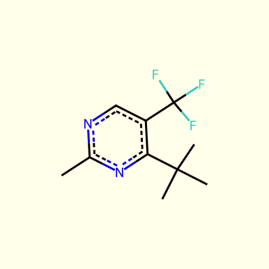 Cc1ncc(C(F)(F)F)c(C(C)(C)C)n1